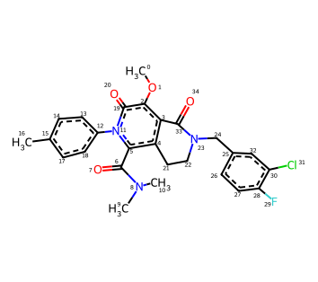 COc1c2c(c(C(=O)N(C)C)n(-c3ccc(C)cc3)c1=O)CCN(Cc1ccc(F)c(Cl)c1)C2=O